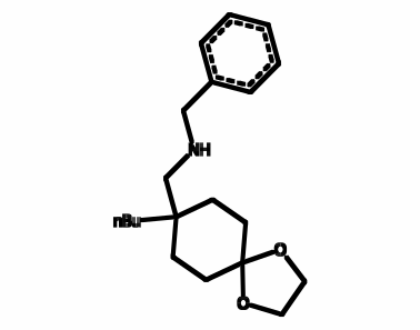 CCCCC1(CNCc2ccccc2)CCC2(CC1)OCCO2